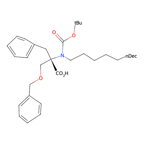 CCCCCCCCCCCCCCCN(C(=O)OC(C)(C)C)[C@](COCc1ccccc1)(Cc1ccccc1)C(=O)O